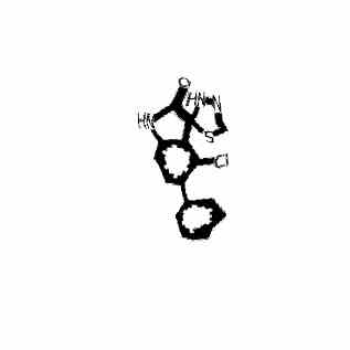 O=C1Nc2ccc(-c3ccccc3)c(Cl)c2C12NN=CS2